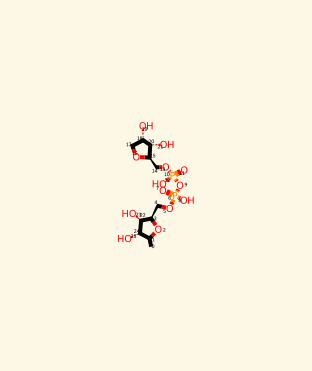 CC1O[C@H](COP(=O)(O)OP(=O)(O)OC[C@H]2OC[C@H](O)[C@@H]2O)[C@@H](O)[C@H]1O